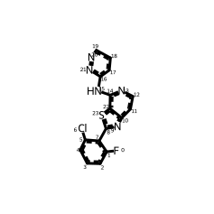 Fc1cccc(Cl)c1-c1nc2ccnc(Nc3cccnn3)c2s1